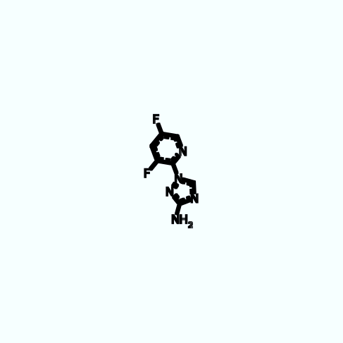 Nc1ncn(-c2ncc(F)cc2F)n1